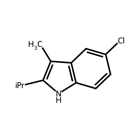 Cc1c(C(C)C)[nH]c2ccc(Cl)cc12